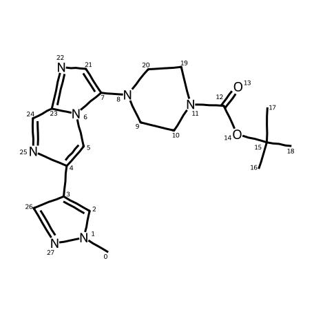 Cn1cc(-c2cn3c(N4CCN(C(=O)OC(C)(C)C)CC4)cnc3cn2)cn1